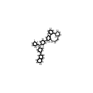 c1ccc(N(c2ccc(-c3ccc4c(c3)CCCCC3CCCC(C3)c3ccccc3-4)cc2)c2ccc(-c3ccc4ccccc4c3)cc2)cc1